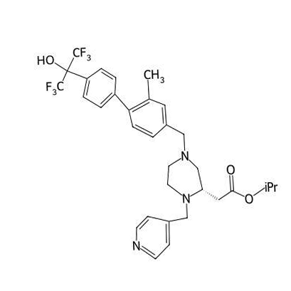 Cc1cc(CN2CCN(Cc3ccncc3)[C@@H](CC(=O)OC(C)C)C2)ccc1-c1ccc(C(O)(C(F)(F)F)C(F)(F)F)cc1